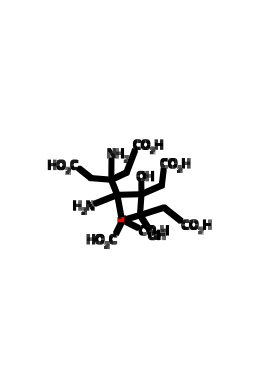 NC(CC(=O)O)(CC(=O)O)C(N)(CC(=O)O)C(O)(CC(=O)O)C(O)(CC(=O)O)CC(=O)O